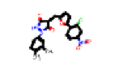 Cc1ccc(N2NC(=O)C(=Cc3ccc(-c4ccc([N+](=O)[O-])cc4Cl)o3)C2=O)cc1C